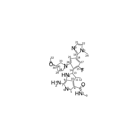 CNC(=O)c1cnc(N)c2c1C(C)C(c1c(F)cc(-c3nccn3C)cc1N1CC[C@@H](OC)C1)N2